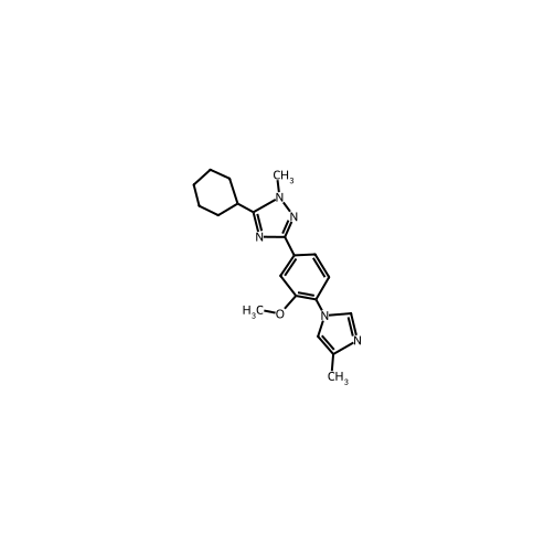 COc1cc(-c2nc(C3CCCCC3)n(C)n2)ccc1-n1cnc(C)c1